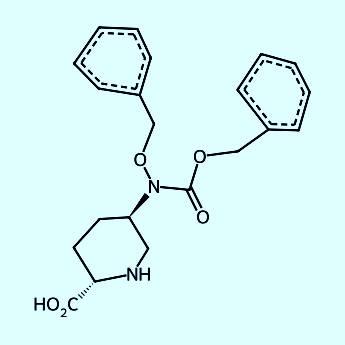 O=C(O)[C@@H]1CC[C@@H](N(OCc2ccccc2)C(=O)OCc2ccccc2)CN1